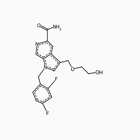 NC(=O)c1cc2c(COCCO)cn(Cc3ccc(F)cc3F)c2cn1